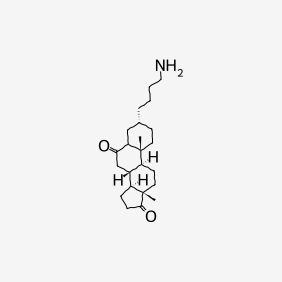 C[C@]12CC[C@@H](CCCCN)CC1C(=O)C[C@@H]1[C@@H]2CC[C@]2(C)C(=O)CC[C@@H]12